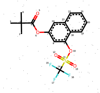 CC(C)(C)C(=O)Oc1cc(OS(=O)(=O)C(F)(F)F)c2ccccc2c1